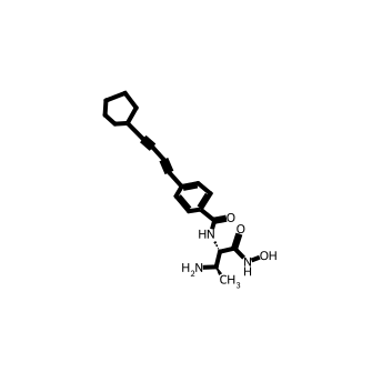 C[C@@H](N)[C@H](NC(=O)c1ccc(C#CC#CC2CCCCC2)cc1)C(=O)NO